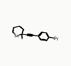 CC(C)c1ccc(C#CC2(C)CCCC[Se]2)cc1